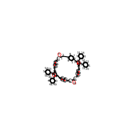 O=C1Cc2ccc(cc2)C2=C(c3ccccc3)C(c3ccccc3)=C(C2=O)c2ccc(cc2)CC(=O)Cc2ccc(cc2)C2=C(c3ccccc3)C(c3ccccc3)=C(C2=O)c2ccc(cc2)C1